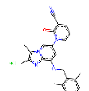 Cc1cccc(C)c1CNc1cc(-n2cccc(C#N)c2=O)cn2c(C)c(C)nc12.Cl